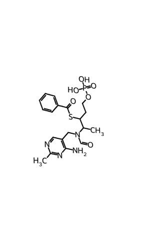 Cc1ncc(CN(C=O)C(C)C(CCOP(=O)(O)O)SC(=O)c2ccccc2)c(N)n1